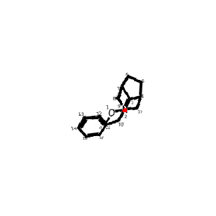 CON=C1C2CCC1CN(Cc1ccccc1)C2